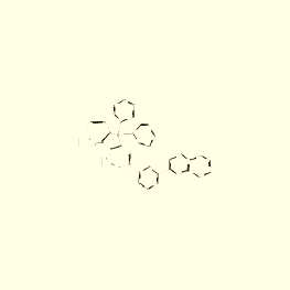 C1=CC2=C(NC1)C1=C(C=C(c3cccc(-c4ccc5ccccc5c4)c3)CN1)C2(c1ccccc1)c1ccccc1